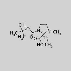 CC[C@@]1(C(=O)O)[C@@H](C)CCN1C(=O)OC(C)(C)C